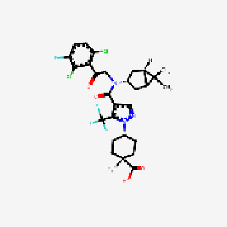 CC1(C)C2C[C@H](N(CC(=O)c3c(Cl)ccc(F)c3Cl)C(=O)c3cnn([C@H]4CC[C@](C)(C(=O)O)CC4)c3C(F)(F)F)C[C@@H]21